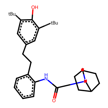 CC(C)(C)c1cc(CCc2ccccc2NC(=O)N2CC3CCC(CC3)C2)cc(C(C)(C)C)c1O